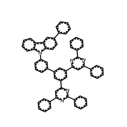 c1ccc(-c2ccc3c(c2)c2ccccc2n3-c2cccc(-c3cc(-c4cc(-c5ccccc5)nc(-c5ccccc5)n4)cc(-c4cc(-c5ccccc5)nc(-c5ccccc5)n4)c3)c2)cc1